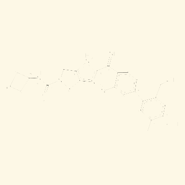 CCc1cc(O)c(F)cc1-c1ccc(C(=N)c2nc3c([nH]2)CN(C(=O)NC2CCC2)C3)c(N)c1